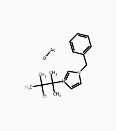 CC(=O)[O-].CCC(C)(C)C(C)(C)[n+]1ccn(Cc2ccccc2)c1